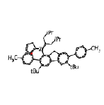 Cc1ccc(-c2cc3c(cc2C(C)(C)C)-c2cc(C(C)(C)C)c(-c4ccc(C)cc4)[c]([Zr]([C]4=CC=CC4)=[C](CC(C)C)CC(C)C)c2C3)cc1